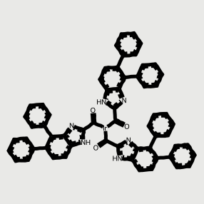 O=[C](c1nc2c(-c3ccccc3)c(-c3ccccc3)ccc2[nH]1)[Ir]([C](=O)c1nc2c(-c3ccccc3)c(-c3ccccc3)ccc2[nH]1)[C](=O)c1nc2c(-c3ccccc3)c(-c3ccccc3)ccc2[nH]1